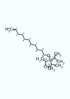 C=CCCCCCCCCCO[Si](C(C)C)(C(C)C)C(C)C